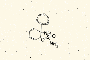 NS(=O)(=O)NC1(c2ccccc2)C=CC=CC1